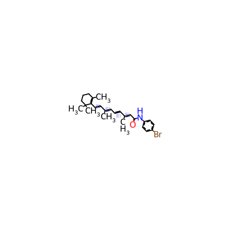 CC1=C(/C=C/C(C)=C/C=C/C(C)=C/C(=O)Nc2ccc(Br)cc2)C(C)(C)CCC1